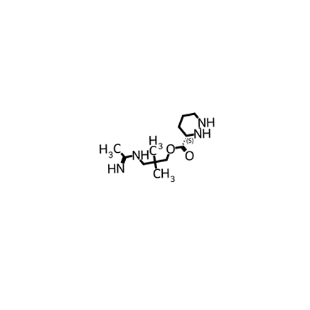 CC(=N)NCC(C)(C)COC(=O)[C@@H]1CCCNN1